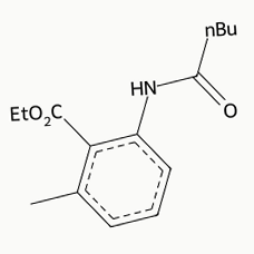 CCCCC(=O)Nc1cccc(C)c1C(=O)OCC